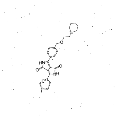 Cc1ccc(C2=C3C(=O)NC(c4ccc(COCCN5CCCCC5)cc4)=C3C(=O)N2)cc1